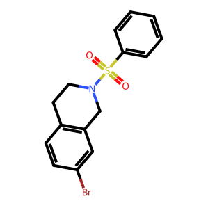 O=S(=O)(c1ccccc1)N1CCc2ccc(Br)cc2C1